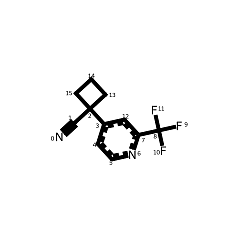 N#CC1(c2ccnc(C(F)(F)F)c2)CCC1